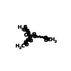 C=CC(=O)OCCCCCCOC(=O)c1cc(C(=O)OCOC(=O)C=C)cc(C(=O)OCOC(=O)C=C)c1